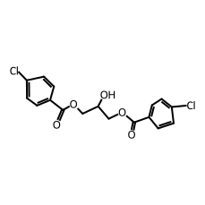 O=C(OCC(O)COC(=O)c1ccc(Cl)cc1)c1ccc(Cl)cc1